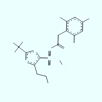 CC(C)c1cc(C#N)cc(C(C)C)c1CC(=O)N=[S@](=O)(NC#N)c1sc(C(C)(C)O)nc1CCO